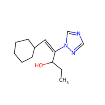 CCC(O)/C(=C\C1CCCCC1)n1cncn1